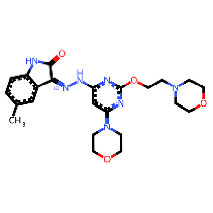 Cc1ccc2c(c1)/C(=N/Nc1cc(N3CCOCC3)nc(OCCN3CCOCC3)n1)C(=O)N2